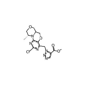 COC(=O)c1cnnn1Cc1nc(Cl)nc2c1OCC1COC[C@@H](C)N21